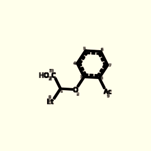 CCC(Oc1ccccc1C(C)=O)C(=O)O